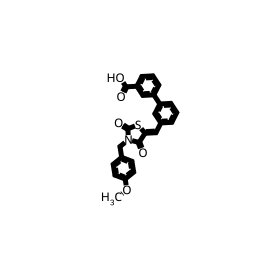 COc1ccc(CN2C(=O)S/C(=C\c3cccc(-c4cccc(C(=O)O)c4)c3)C2=O)cc1